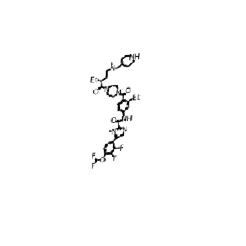 CCc1cc(NC(=O)c2ncc(-c3ccc(OC(F)F)c(F)c3F)n2C)ccc1C(=O)N1CCN(C(=O)C(CC)CCN(C)CC2CCNCC2)CC1